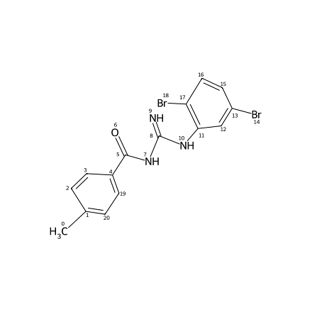 Cc1ccc(C(=O)NC(=N)Nc2cc(Br)ccc2Br)cc1